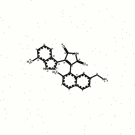 Cc1ccc2ccc(CN)cc2c1C1=C(c2c[nH]c3c(C)cccc23)C(=O)NC1=O